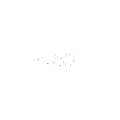 CNCc1nc2cc(Cl)ccc2n1C